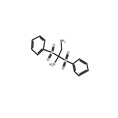 NCC(N)(S(=O)(=O)c1ccccc1)S(=O)(=O)c1ccccc1